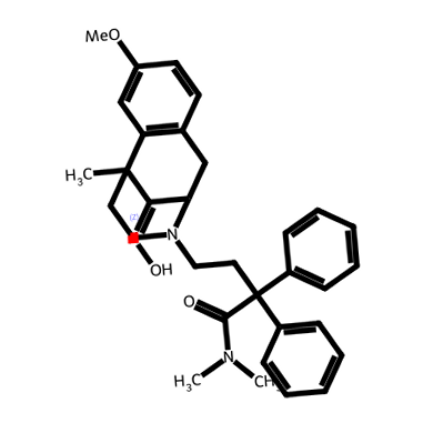 COc1ccc2c(c1)C1(C)CCN(CCC(C(=O)N(C)C)(c3ccccc3)c3ccccc3)C(C2)/C1=N\O